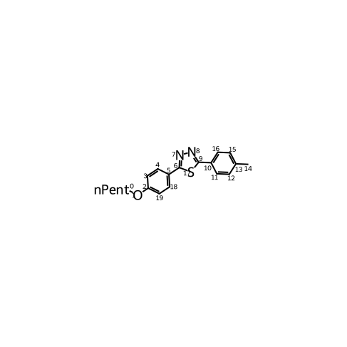 CCCCCOc1ccc(-c2nnc(-c3ccc(C)cc3)s2)cc1